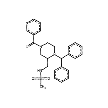 CS(=O)(=O)NCC1CN(C(=O)c2cccnc2)CCN1C(c1ccccc1)c1ccccc1